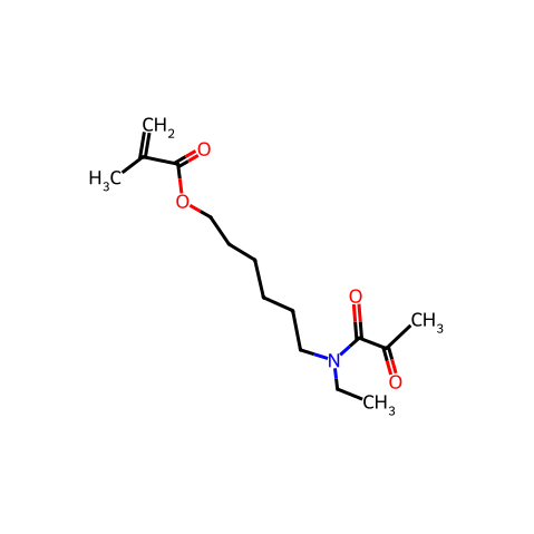 C=C(C)C(=O)OCCCCCCN(CC)C(=O)C(C)=O